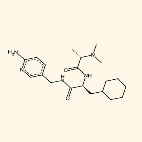 C[C@@H](C(=O)N[C@@H](CC1CCCCC1)C(=O)NCc1ccc(N)nc1)N(C)C